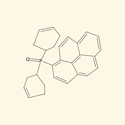 O=P(c1ccc2ccc3cccc4ccc1c2c34)(C1CC=CCC1)C1CC=CCC1